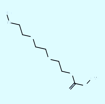 COOC(=O)OCCOCCOCCNC(C)(C)C